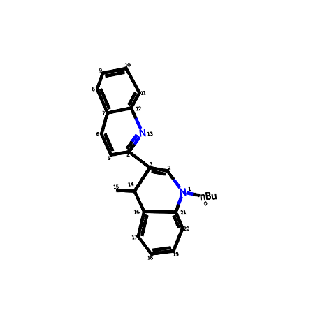 CCCCN1C=C(c2ccc3ccccc3n2)C(C)c2ccccc21